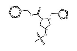 CS(=O)(=O)O[C@@H]1C[C@@H](Cn2ccnc2)N(C(=O)OCc2ccccc2)C1